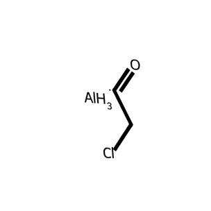 O=[C]CCl.[AlH3]